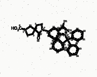 O=C(O)N1CCC2(CCN(c3ccc4c(c3)c(I)nn4C(c3ccccc3)(c3ccccc3)c3ccccc3)C2=O)C1